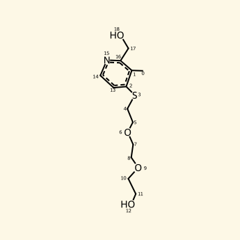 Cc1c(SCCOCCOCCO)ccnc1CO